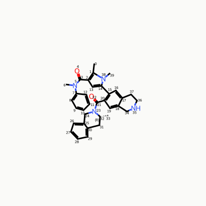 Cc1c(C(=O)N(C)c2ccccc2)cc(-c2cc3c(cc2C(=O)N2Cc4ccccc4C[C@H]2C)CNCC3)n1C